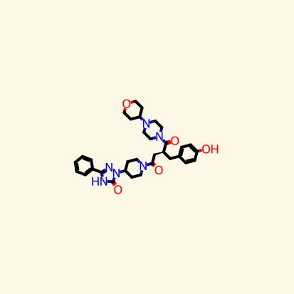 O=C(C[C@H](Cc1ccc(O)cc1)C(=O)N1CCN(C2CCOCC2)CC1)N1CCC(n2nc(-c3ccccc3)[nH]c2=O)CC1